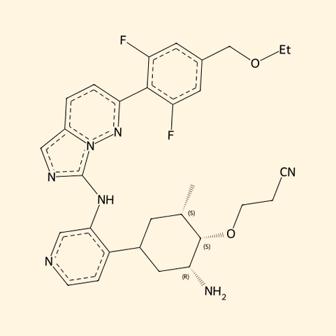 CCOCc1cc(F)c(-c2ccc3cnc(Nc4cnccc4C4C[C@@H](N)[C@@H](OCCC#N)[C@@H](C)C4)n3n2)c(F)c1